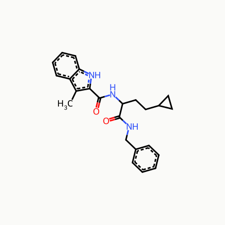 Cc1c(C(=O)NC(CCC2CC2)C(=O)NCc2ccccc2)[nH]c2ccccc12